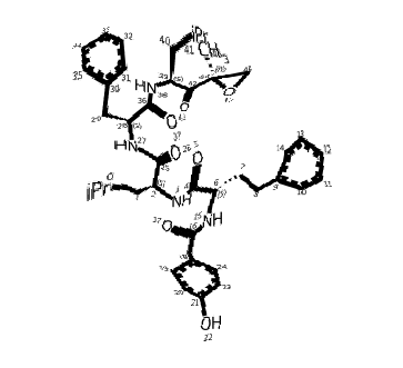 CC(C)C[C@H](NC(=O)[C@H](CCc1ccccc1)NC(=O)c1ccc(O)cc1)C(=O)N[C@@H](Cc1ccccc1)C(=O)N[C@@H](CC(C)C)C(=O)[C@@]1(C)CO1